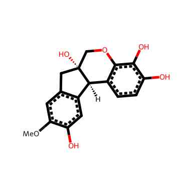 COc1cc2c(cc1O)[C@@H]1c3ccc(O)c(O)c3OC[C@]1(O)C2